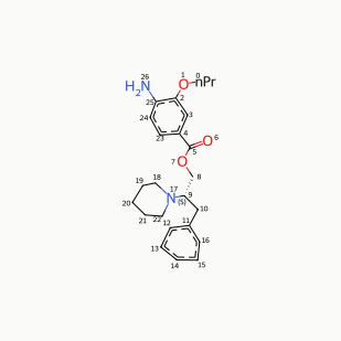 CCCOc1cc(C(=O)OC[C@H](Cc2ccccc2)N2CCCCC2)ccc1N